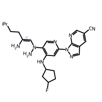 CC(C)CC/C(N)=C/N(N)c1cnc(-n2ncc3cc(C#N)cnc32)cc1NC1CCC(F)C1